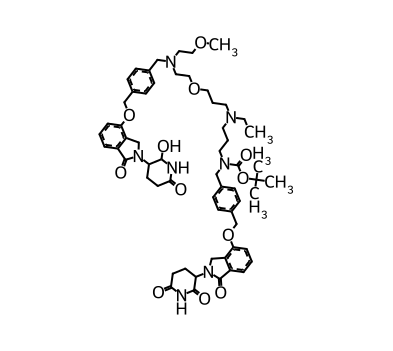 CCN(CCCOCCN(CCOC)Cc1ccc(COc2cccc3c2CN(C2CCC(=O)NC2O)C3=O)cc1)CCCN(Cc1ccc(COc2cccc3c2CN(C2CCC(=O)NC2=O)C3=O)cc1)C(=O)OC(C)(C)C